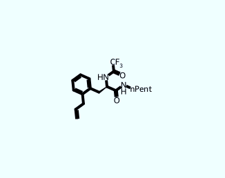 C=CCc1ccccc1C[C@@H](NC(=O)C(F)(F)F)C(=O)NCCCCC